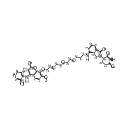 COc1ccc2c(Nc3c(Cl)cncc3Cl)cc(=O)oc2c1OCCOCCOCCOCCCNc1cccc2c1CN(C1CCC(=O)NC1=O)C2=O